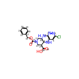 Nc1nnc(Cl)cc1NC1CCN(C(=O)OCc2ccccc2)CC1C(=O)O